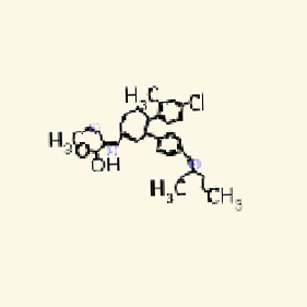 C/C=C\C(=C/C1=CC(c2ccc(/C=C(\CC)CCC)cc2)=C(c2ccc(Cl)cc2C)CCC1)C(=O)O